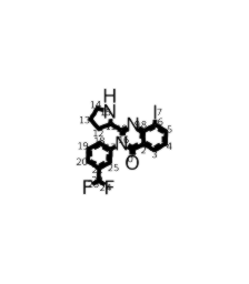 O=c1c2cccc(I)c2nc(C2CCCN2)n1-c1cccc(C(F)F)c1